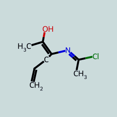 C=CCC(/N=C(\C)Cl)=C(\C)O